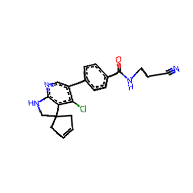 N#CCCNC(=O)c1ccc(-c2cnc3c(c2Cl)C2(CC=CC2)CN3)cc1